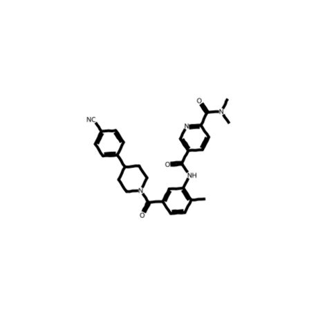 Cc1ccc(C(=O)N2CCC(c3ccc(C#N)cc3)CC2)cc1NC(=O)c1ccc(C(=O)N(C)C)nc1